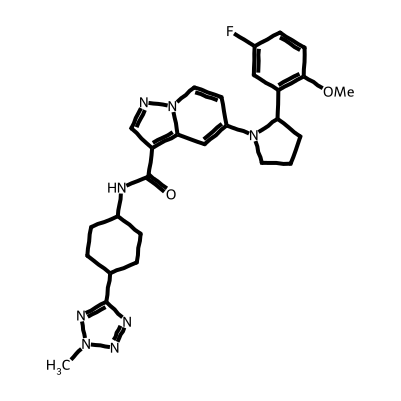 COc1ccc(F)cc1C1CCCN1c1ccn2ncc(C(=O)NC3CCC(c4nnn(C)n4)CC3)c2c1